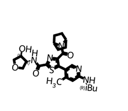 CC[C@@H](C)Nc1cc(C)c(-c2sc(C(=O)N[C@@H]3COC[C@H]3O)nc2C(=O)N2C3CCC2CC3)cn1